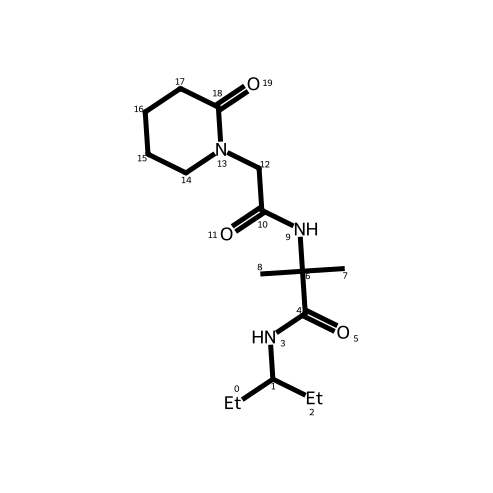 CCC(CC)NC(=O)C(C)(C)NC(=O)CN1CCCCC1=O